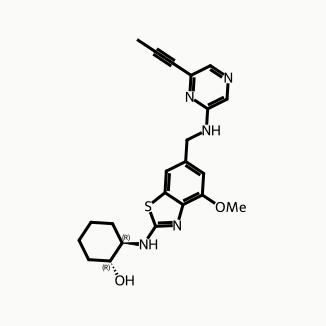 CC#Cc1cncc(NCc2cc(OC)c3nc(N[C@@H]4CCCC[C@H]4O)sc3c2)n1